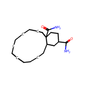 NC(=O)C1CCC2(C(N)=O)CCCCCCCCCCCCC2C1